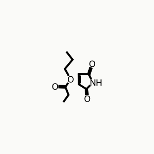 CCCOC(=O)CC.O=C1C=CC(=O)N1